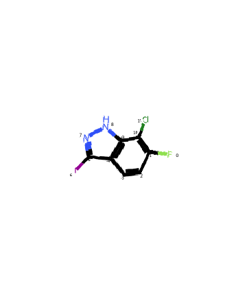 Fc1ccc2c(I)n[nH]c2c1Cl